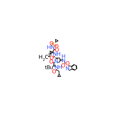 C=C[C@H]1C[C@]1(NC(=O)[C@@H]1C[C@@H](NC(=O)OC2=NCc3ccccc32)CN1C(=O)[C@@H](NC(=O)CC1CC1)C(C)(C)C)C(=O)NS(=O)(=O)C1CC1